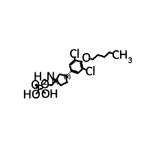 CCCCCOc1c(Cl)cc([C@@H]2CC[C@](N)(COP(=O)(O)O)C2)cc1Cl